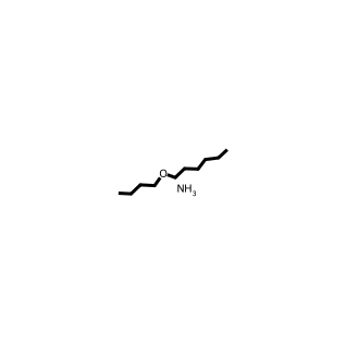 CCCCCCOCCCC.N